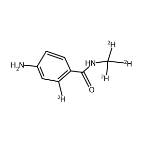 [2H]c1cc(N)ccc1C(=O)NC([2H])([2H])[2H]